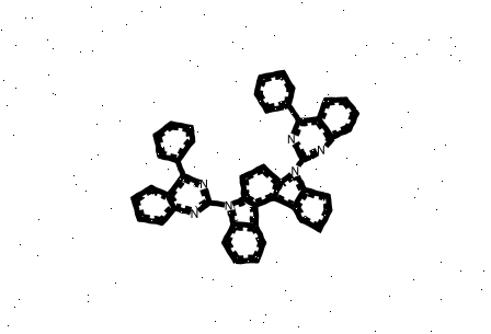 c1ccc(-c2nc(-n3c4ccccc4c4c5c6ccccc6n(-c6nc(-c7ccccc7)c7ccccc7n6)c5ccc43)nc3ccccc23)cc1